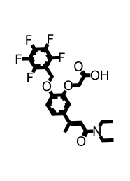 CCN(CC)C(=O)C=C(C)c1ccc(OCc2c(F)c(F)c(F)c(F)c2F)c(OCC(=O)O)c1